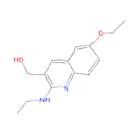 CCNc1nc2ccc(OCC)cc2cc1CO